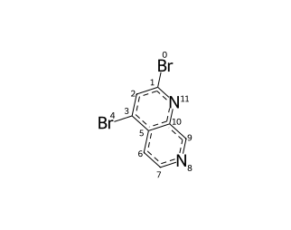 Brc1cc(Br)c2ccncc2n1